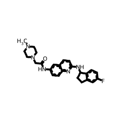 CN1CCN(CC(=O)Nc2ccc3nc(NC4CCc5cc(F)ccc54)ccc3c2)CC1